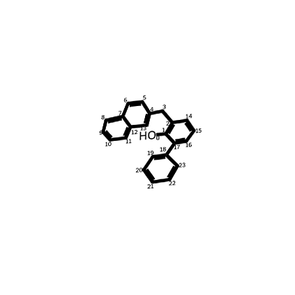 Oc1c(Cc2ccc3ccccc3c2)cccc1-c1ccccc1